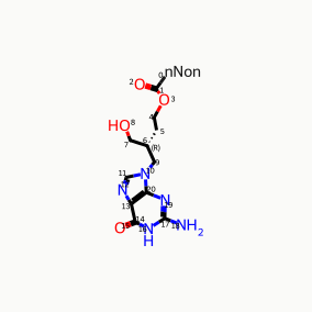 CCCCCCCCCC(=O)OCC[C@@H](CO)Cn1cnc2c(=O)[nH]c(N)nc21